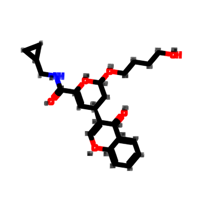 O=C(NCC1CC1)C1=C[C@H](c2coc3ccccc3c2=O)CC(OCCCCO)O1